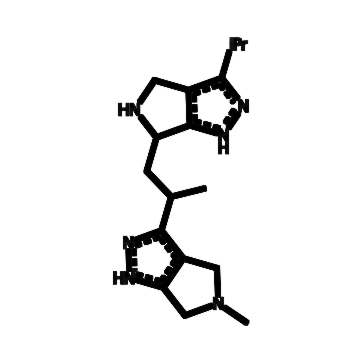 CC(C)c1n[nH]c2c1CNC2CC(C)c1n[nH]c2c1CN(C)C2